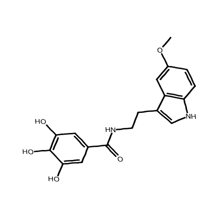 COc1ccc2[nH]cc(CCNC(=O)c3cc(O)c(O)c(O)c3)c2c1